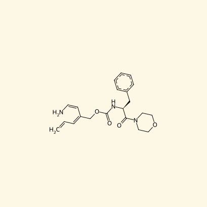 C=C/C=C(\C=C/N)COC(=O)N[C@@H](Cc1ccccc1)C(=O)N1CCOCC1